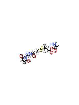 CN[C@@H](C)C(=O)OC(=O)CCC(C)(C)SSCCCC(=O)NCCN1C(=O)C=CC1=O